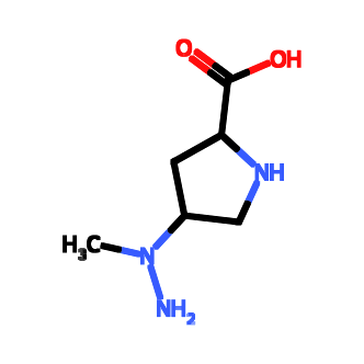 CN(N)C1CNC(C(=O)O)C1